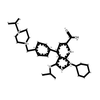 CC(C)Oc1nn(C2CCCCC2)c2nc(C(=O)O)cc(-c3ccc(CN4CCN(C(C)C)CC4)cc3)c12